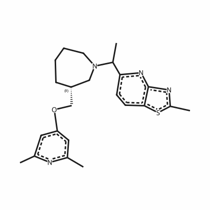 Cc1cc(OC[C@@H]2CCCCN(C(C)c3ccc4sc(C)nc4n3)C2)cc(C)n1